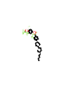 CCCCC[C@H]1CC[C@H]([C@H]2CC[C@H](c3ccc(C(F)(F)Oc4cc(F)c(OC(F)(F)F)c(F)c4)c(F)c3)CC2)CC1